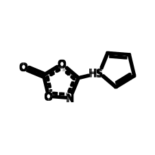 O=c1onc([SH]2C=CC=C2)o1